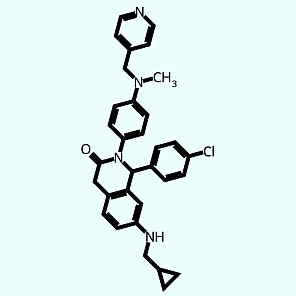 CN(Cc1ccncc1)c1ccc(N2C(=O)Cc3ccc(NCC4CC4)cc3C2c2ccc(Cl)cc2)cc1